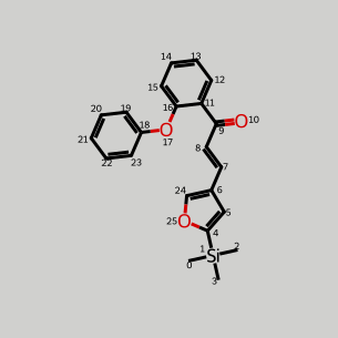 C[Si](C)(C)c1cc(C=CC(=O)c2ccccc2Oc2ccccc2)co1